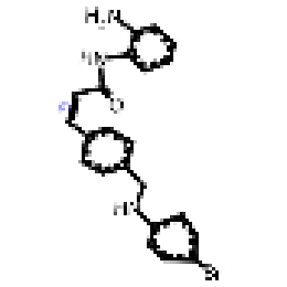 Nc1ccccc1NC(=O)/C=C\c1ccc(CNc2ccc(Br)cc2)cc1